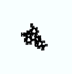 Fc1ccc(-c2nn3c(c2-c2ccnc4[nH]ncc24)OCC2(CC2)C3)cc1